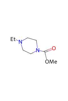 CCN1CCN(C(=O)OC)CC1